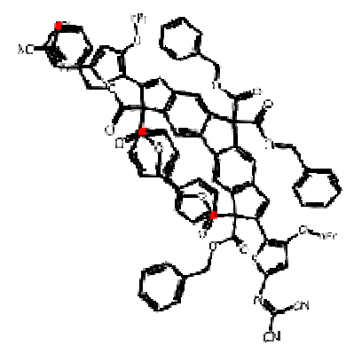 CCCOc1cc(N=C(C#N)C#N)sc1C1=Cc2cc3c(cc2C1(C(=O)OCc1ccccc1)C(=O)OCc1ccccc1)-c1cc2c(cc1C3(C(=O)OCc1ccccc1)C(=O)OCc1ccccc1)C=C(c1sc(N=C(C#N)C#N)cc1OCCC)C2(C(=O)OCc1ccccc1)C(=O)OCc1ccccc1